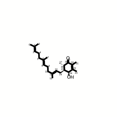 CC(C)=CCC/C(C)=C/CC/C(C)=C/C[C@H]1[C@H](C)C(=O)C(C)=C(C)[C@H]1O